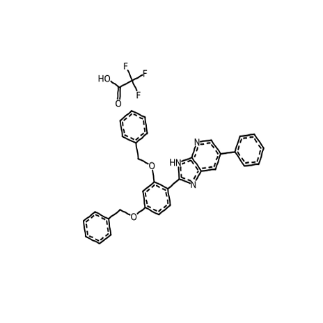 O=C(O)C(F)(F)F.c1ccc(COc2ccc(-c3nc4cc(-c5ccccc5)cnc4[nH]3)c(OCc3ccccc3)c2)cc1